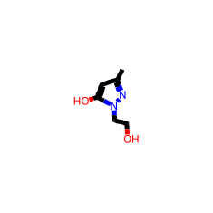 Cc1cc(O)n(CCO)n1